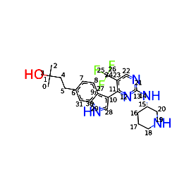 CC(C)(O)CCc1ccc2c(-c3nc(N[C@H]4CCCNC4)ncc3C(F)(F)F)c[nH]c2c1